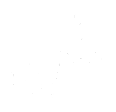 CC1(C)CC(c2ccc(Cl)cc2)=C(CN2CCN(C3=CCC(Oc4cccc5[nH]ccc45)(C(=O)O)C=C3)CC2)CO1